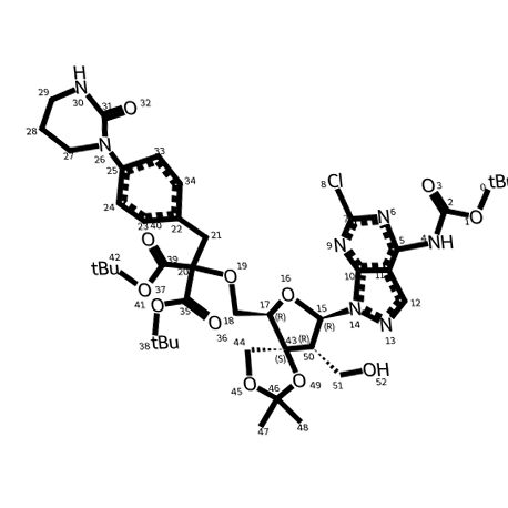 CC(C)(C)OC(=O)Nc1nc(Cl)nc2c1cnn2[C@@H]1O[C@H](COC(Cc2ccc(N3CCCNC3=O)cc2)(C(=O)OC(C)(C)C)C(=O)OC(C)(C)C)[C@@]2(COC(C)(C)O2)[C@H]1CO